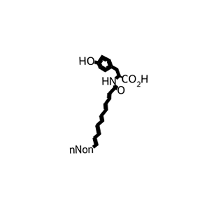 CCCCCCCCCC=CC=CC=CC=CC=CC(=O)N[C@@H](Cc1ccc(O)cc1)C(=O)O